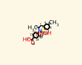 Cc1ccc2c(c1)CC(C)N(c1ccc(C(=O)O)cc1F)S2(O)O